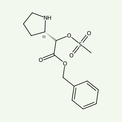 CS(=O)(=O)OC(C(=O)OCc1ccccc1)[C@@H]1CCCN1